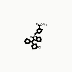 COC(=O)c1cccc(CN2C(=O)/C(=C(\c3ccccc3)c3cccc(Cl)c3)c3ccccc32)c1